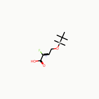 CC(C)(C)[Si](C)(C)OC/C=C(\F)C(=O)O